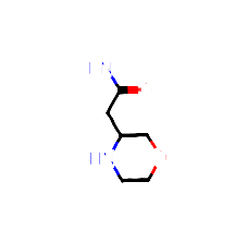 NC(=O)[CH]C1COCCN1